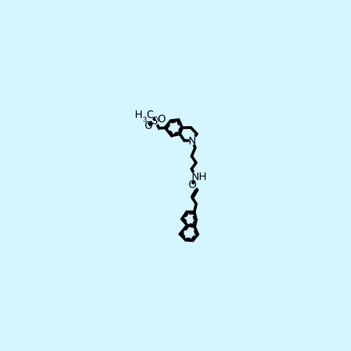 CS(=O)(=O)Cc1ccc2c(c1)CN(CCCCNO/C=C/Cc1ccc3ccccc3c1)CC2